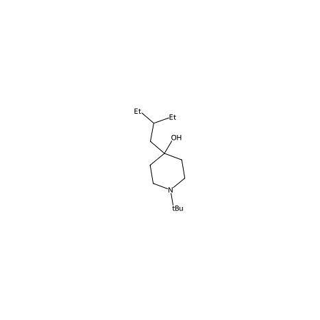 CCC(CC)CC1(O)CCN(C(C)(C)C)CC1